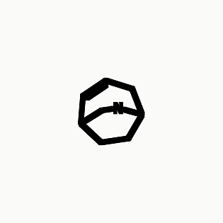 C1=CC2CCC(C1)[N]C2